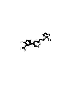 CCc1nccn1CCc1cc(-c2ccc(F)c(C(F)F)c2)cnn1